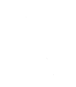 CC(C)(C)OC(=O)NC(C(=O)O)c1ccc(OCC2COC(C)(C)O2)cc1